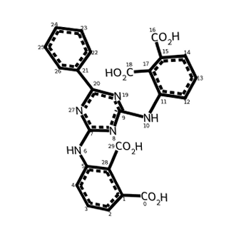 O=C(O)c1cccc(Nc2nc(Nc3cccc(C(=O)O)c3C(=O)O)nc(-c3ccccc3)n2)c1C(=O)O